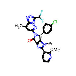 COc1ncccc1-c1nc2c(n1C(C)C)[C@H](c1ccc(Cl)cc1)N(c1cc(C)c3nnc(C(F)F)n3n1)C2=O